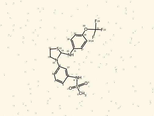 CS(=O)(=O)Nc1cccc(N2CCSC2Nc2ccc(OC(F)(F)F)cc2)c1